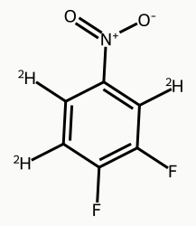 [2H]c1c([2H])c([N+](=O)[O-])c([2H])c(F)c1F